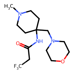 CN1CCC(CN2CCOCC2)(NC(=O)CC(F)(F)F)CC1